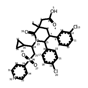 CC1(CC(=O)O)CC(c2cccc(Cl)c2)C(c2ccc(Cl)cc2)N(C(CS(=O)(=O)c2ccncc2)C2CC2)C1=O